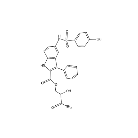 CC(C)(C)c1ccc(S(=O)(=O)Nc2ccc3[nH]c(C(=O)OCC(O)C(N)=O)c(-c4ccccc4)c3c2)cc1